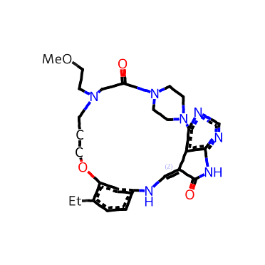 CCc1ccc2cc1OCCCN(CCOC)CC(=O)N1CCN(CC1)c1ncnc3c1/C(=C/N2)C(=O)N3